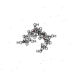 O=C(O)CNC(=O)[C@@H]1C[C@@H](O)CN1C(=O)[C@@H]1CCCN1C(=O)CNC(=O)[C@@H]1C[C@@H](O)CN1C(=O)[C@@H]1CCCN1C(=O)CNC(=O)[C@@H]1C[C@@H](O)CN1C(=O)[C@@H]1CCCN1C(=O)CNC(=O)[C@@H]1C[C@@H](O)CN1C(=O)[C@@H]1CCCN1C(=O)CNC(=O)[C@@H]1C[C@@H](O)CN1C(=O)[C@@H]1CCCN1C(=O)CNC(=O)[C@@H]1C[C@@H](O)CN1